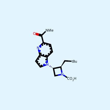 CNC(=O)c1ccc2c(ccn2[C@H]2CN(C(=O)O)[C@@H]2CC(C)(C)C)n1